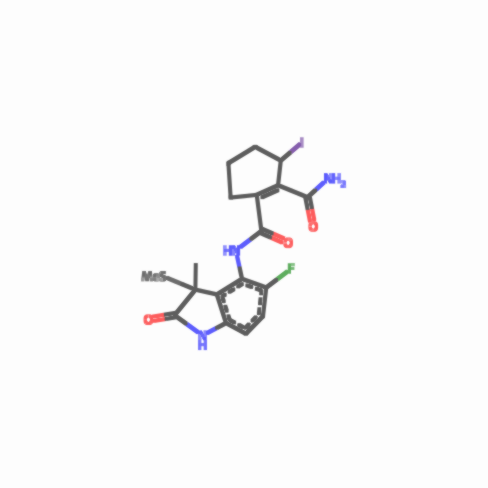 CSC1(C)C(=O)Nc2ccc(F)c(NC(=O)C3=C(C(N)=O)C(I)CCC3)c21